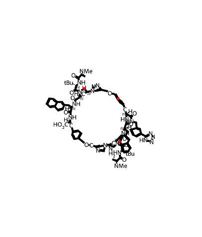 CN[C@@H](C)C(=O)N[C@H](C(=O)N1C[C@@H]2C[C@H]1C(=O)N[C@@H](Cc1ccc3ccccc3c1)C(=O)N[C@H](C(=O)O)Cc1ccc(cc1)OCc1cn(cn1)[C@@]1(N)C[C@@H](C(=O)N[C@@H](Cc3ccc4ccccc4c3)C(=O)N[C@H](C(=O)NCc3cccc(-c4nnn[nH]4)c3)Cc3ccc(cc3)OCc3cn2nn3)N(C(=O)[C@@H](NC(=O)[C@H](C)NC)C(C)(C)C)C1)C(C)(C)C